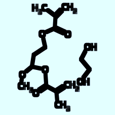 C=C(C)C(=O)OCCC(OC)OC(=O)C(=C)C.OCCO